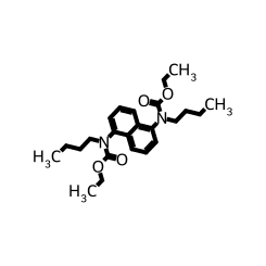 CCCCN(C(=O)OCC)c1cccc2c(N(CCCC)C(=O)OCC)cccc12